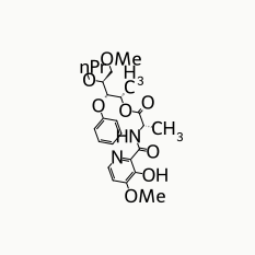 CCCO[C@@H](COC)[C@@H](Oc1ccccc1)[C@H](C)OC(=O)[C@H](C)NC(=O)c1nccc(OC)c1O